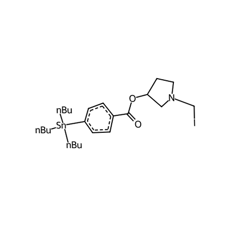 CCC[CH2][Sn]([CH2]CCC)([CH2]CCC)[c]1ccc(C(=O)OC2CCN(CI)C2)cc1